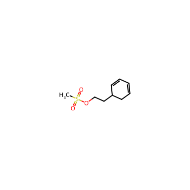 CS(=O)(=O)OCCC1C=CC=CC1